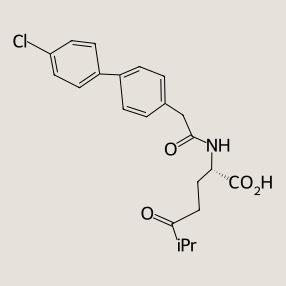 CC(C)C(=O)CC[C@H](NC(=O)Cc1ccc(-c2ccc(Cl)cc2)cc1)C(=O)O